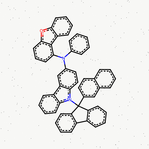 c1ccc(N(c2ccc3c(c2)c2ccccc2n3C2(c3ccc4ccccc4c3)c3ccccc3-c3ccccc32)c2cccc3oc4ccccc4c23)cc1